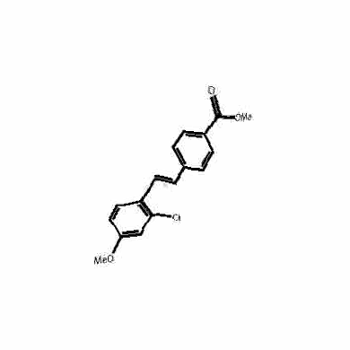 COC(=O)c1ccc(/C=C/c2ccc(OC)cc2Cl)cc1